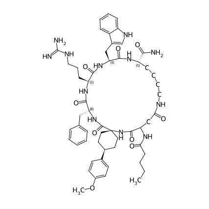 CCCCC(=O)NC1CC(=O)NCCCC[C@@H](C(N)=O)NC(=O)[C@H](Cc2c[nH]c3ccccc23)NC(=O)[C@H](CCCNC(=N)N)NC(=O)[C@@H](Cc2ccccc2)NC(=O)[C@]2(CC[C@H](c3ccc(OC)cc3)CC2)NC1=O